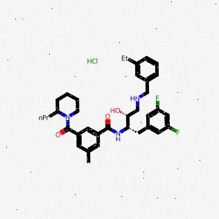 CCCC1CCCCN1C(=O)c1cc(C)cc(C(=O)N[C@@H](Cc2cc(F)cc(F)c2)[C@H](O)CNCc2cccc(CC)c2)c1.Cl